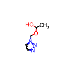 CC(O)OCn1ccnn1